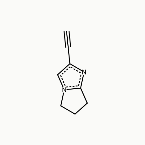 C#Cc1cn2c(n1)CCC2